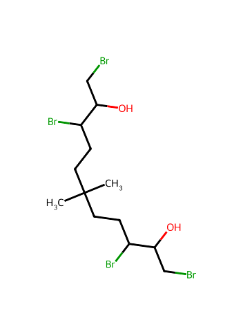 CC(C)(CCC(Br)C(O)CBr)CCC(Br)C(O)CBr